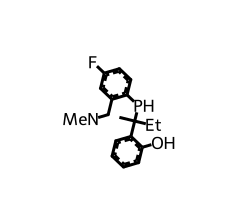 CCC(C)(Pc1ccc(F)cc1CNC)c1ccccc1O